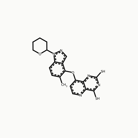 Cc1ccc2c(cnn2C2CCCCO2)c1Oc1ccnc2c(S)nc(S)nc12